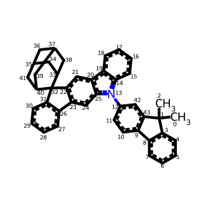 CC1(C)c2ccccc2-c2ccc(-n3c4ccccc4c4cc5c(cc43)-c3ccccc3C53C4CC5CC(C4)CC3C5)cc21